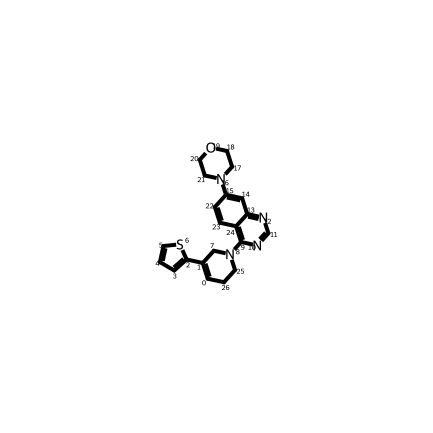 C1=C(c2cccs2)CN(c2ncnc3cc(N4CCOCC4)ccc23)CC1